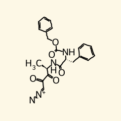 C[C@@H](NC(=O)[C@@H](Cc1ccccc1)NC(=O)OCc1ccccc1)C(=O)C(=O)C=[N+]=[N-]